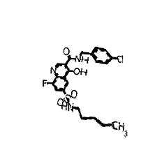 CCCCCNS(=O)(=O)c1cc(F)c2ncc(C(=O)NCc3ccc(Cl)cc3)c(O)c2c1